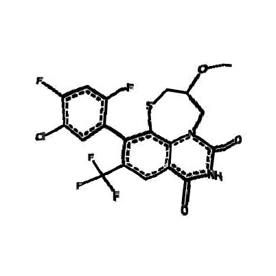 COC1CSc2c(-c3cc(Cl)c(F)cc3F)c(C(F)(F)F)cc3c(=O)[nH]c(=O)n(c23)C1